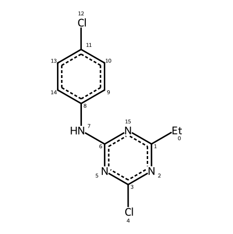 CCc1nc(Cl)nc(Nc2ccc(Cl)cc2)n1